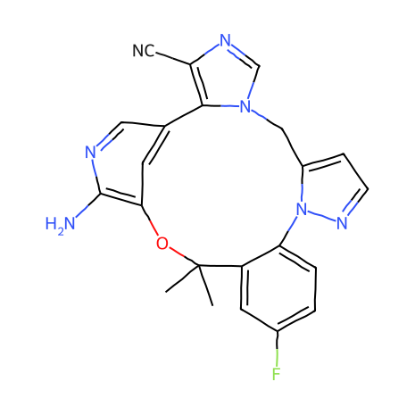 CC1(C)Oc2cc(cnc2N)-c2c(C#N)ncn2Cc2ccnn2-c2ccc(F)cc21